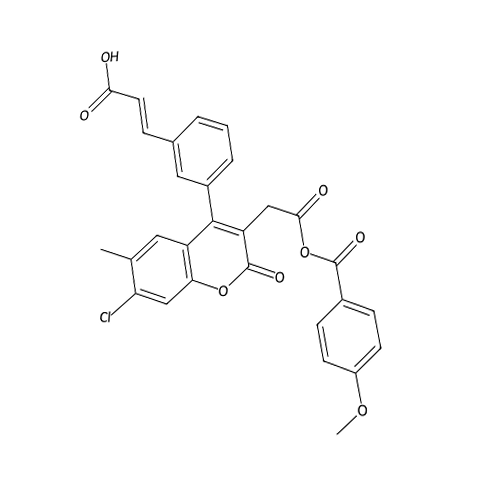 COc1ccc(C(=O)OC(=O)Cc2c(-c3cccc(C=CC(=O)O)c3)c3cc(C)c(Cl)cc3oc2=O)cc1